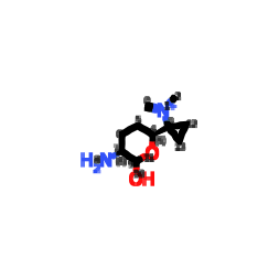 C=[N+](C)C1([C@@H]2CC[C@H](N)C(O)O2)CC1